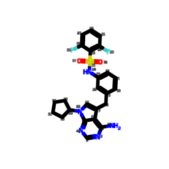 Nc1ncnc2c1c(Cc1cccc(NS(=O)(=O)c3c(F)cccc3F)c1)cn2C1CCCC1